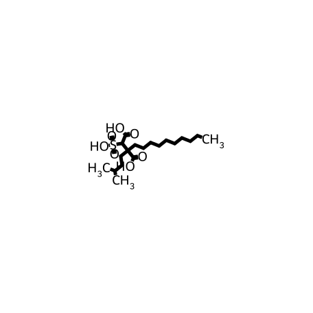 CCCCCCCCCCC(CCC(C)C)(C(=O)O)C(C(=O)O)S(=O)(=O)O